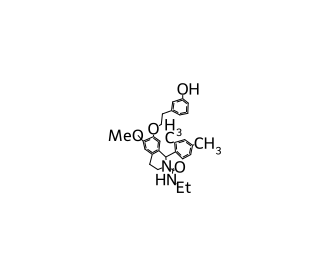 CCNC(=O)N1CCc2cc(OC)c(OCCc3cccc(O)c3)cc2C1c1ccc(C)cc1C